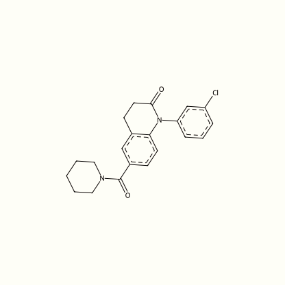 O=C(c1ccc2c(c1)CCC(=O)N2c1cccc(Cl)c1)N1CCCCC1